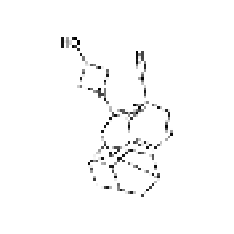 CC1C2CC3CC1CC(C2)C3(CC(=O)N1CC(O)C1)c1cccc(C#N)c1